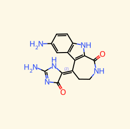 NC1=NC(=O)/C(=C2\CCNC(=O)c3[nH]c4ccc(N)cc4c32)N1